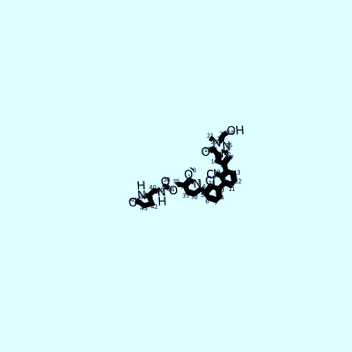 COc1nc(-c2cccc(-c3cccc(-c4cc5c(=O)n(C)c(CO)nn5c4)c3Cl)c2Cl)ccc1COC(=O)NCC1CCC(=O)N1